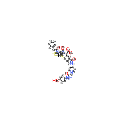 O=C(C[n+]1ccc(CN2CCC(=CC3=C(C(=O)[O-])N4C(=O)[C@@H](N(S)C(=O)Cc5ccccc5)[C@H]4SC3)C2=O)cc1)Nc1ccc(O)cc1